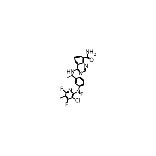 Cc1c(F)nc(N(F)c2cccc([C@@H](C)Nc3ncnc4c(C(N)=O)cccc34)c2)c(Cl)c1F